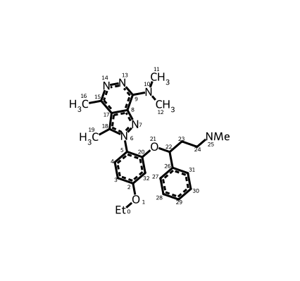 CCOc1ccc(-n2nc3c(N(C)C)nnc(C)c3c2C)c(OC(CCNC)c2ccccc2)c1